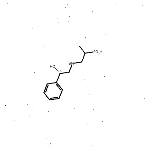 CC(CNC[C@@H](O)c1ccccc1)S(=O)(=O)O